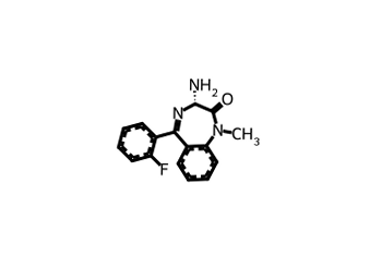 CN1C(=O)[C@@H](N)N=C(c2ccccc2F)c2ccccc21